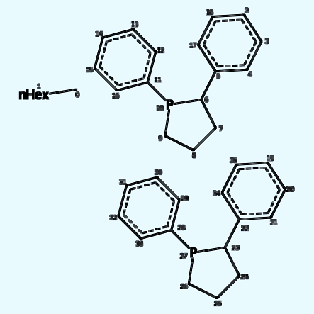 CCCCCCC.c1ccc(C2CCCP2c2ccccc2)cc1.c1ccc(C2CCCP2c2ccccc2)cc1